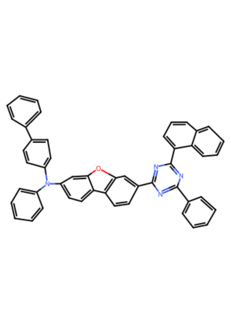 c1ccc(-c2ccc(N(c3ccccc3)c3ccc4c(c3)oc3cc(-c5nc(-c6ccccc6)nc(-c6cccc7ccccc67)n5)ccc34)cc2)cc1